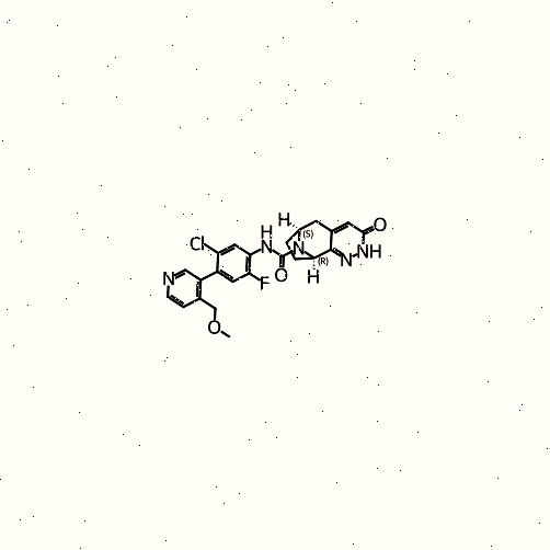 COCc1ccncc1-c1cc(F)c(NC(=O)N2[C@H]3CC[C@@H]2c2n[nH]c(=O)cc2C3)cc1Cl